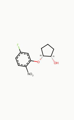 O=[N+]([O-])c1ccc(F)cc1O[C@@H]1CCC[C@@H]1O